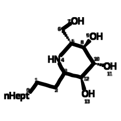 CCCCCCCCCC1N[C@H](CO)[C@@H](O)[C@H](O)[C@H]1O